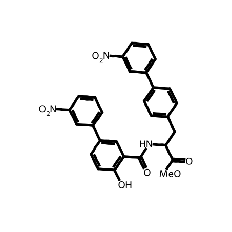 COC(=O)C(Cc1ccc(-c2cccc([N+](=O)[O-])c2)cc1)NC(=O)c1cc(-c2cccc([N+](=O)[O-])c2)ccc1O